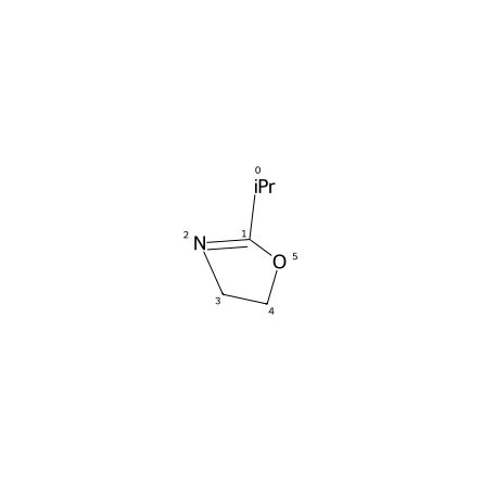 [CH2]C(C)C1=NCCO1